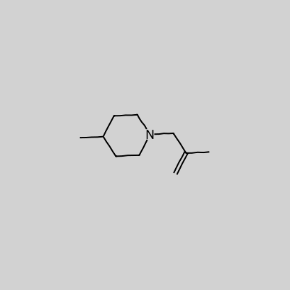 C=C(C)CN1CCC(C)CC1